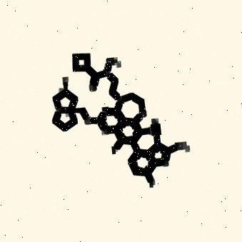 CN(CCN1CCOc2c(Cl)c(-c3ccc(F)c4sc(N)c(C#N)c34)c(F)c3nc(OC[C@@]45CCCN4C[C@H](F)C5)nc1c23)C(=O)C1CCC1